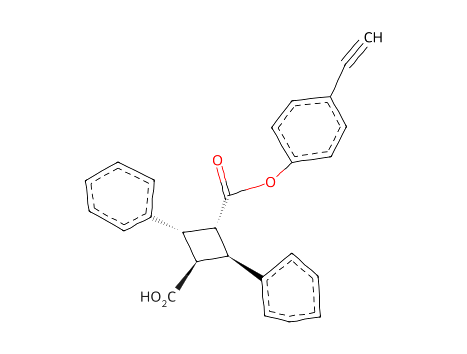 C#Cc1ccc(OC(=O)[C@H]2[C@@H](c3ccccc3)[C@H](C(=O)O)[C@@H]2c2ccccc2)cc1